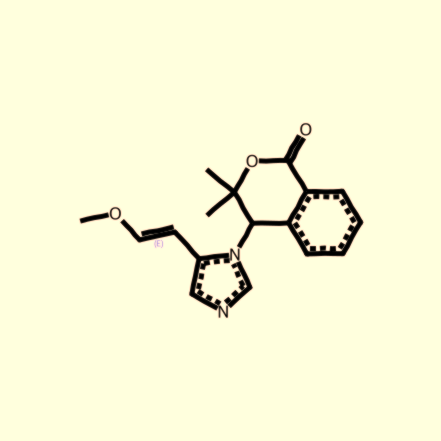 CO/C=C/c1cncn1C1c2ccccc2C(=O)OC1(C)C